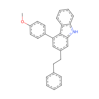 COc1ccc(-c2cc(CCc3ccccc3)cc3[nH]c4ccccc4c23)cc1